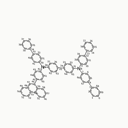 c1ccc(-c2ccc(N(c3ccc(-c4ccccc4)cc3)c3ccc(-c4ccc(N(c5ccc(-c6ccccc6)cc5)c5ccc(-c6cc7ccccc7c7ccccc67)cc5)cc4)cc3)cc2)cc1